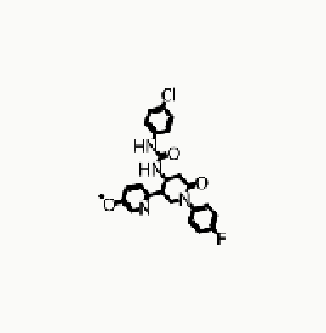 COc1ccc(C2CN(c3ccc(F)cc3)C(=O)CC2NC(=O)Nc2ccc(Cl)cc2)nc1